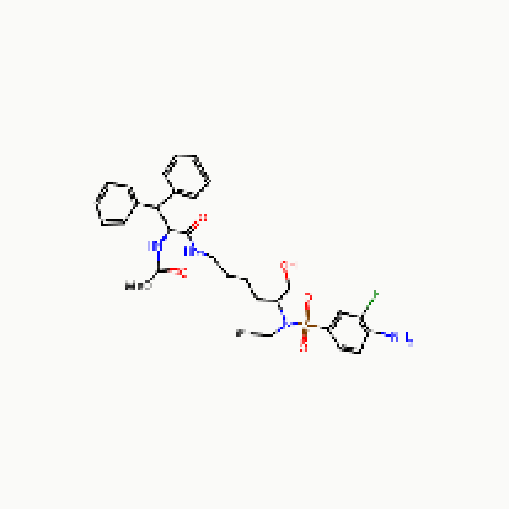 COC(=O)N[C@H](C(=O)NCCCC[C@@H](CO)N(CC(C)C)S(=O)(=O)c1ccc(N)c(F)c1)C(c1ccccc1)c1ccccc1